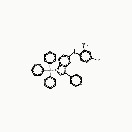 N#Cc1ccc(Nc2ccc3c(c2)c(-c2ccncc2)nn3C(c2ccccc2)(c2ccccc2)c2ccccc2)c([N+](=O)[O-])c1